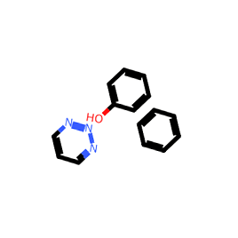 Oc1ccccc1.c1ccccc1.c1cnnnc1